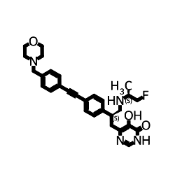 C[C@@H](CF)NC[C@@H](Cc1nc[nH]c(=O)c1O)c1ccc(C#Cc2ccc(CN3CCOCC3)cc2)cc1